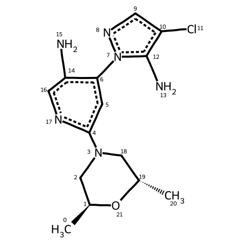 C[C@H]1CN(c2cc(-n3ncc(Cl)c3N)c(N)cn2)C[C@H](C)O1